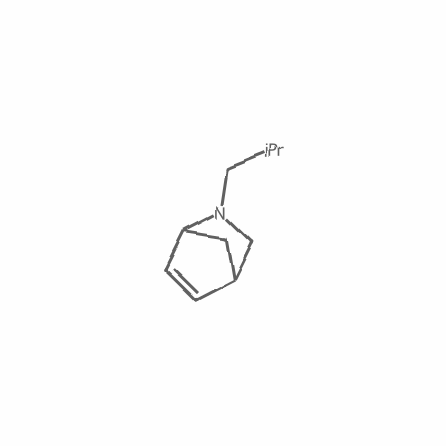 CC(C)CN1CC2C=CC1C2